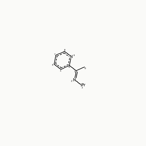 C/C(=N\C(C)C)c1ccccn1